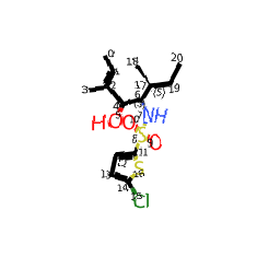 CC=C(C)C(O)[C@@H](NS(=O)(=O)c1ccc(Cl)s1)[C@@H](C)CC